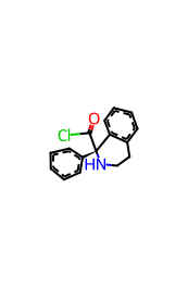 O=C(Cl)[C@@]1(c2ccccc2)NCCc2ccccc21